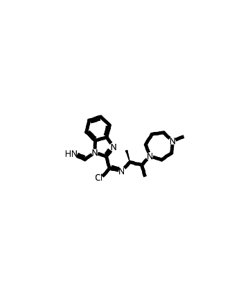 CC([C@H](C)/N=C(/Cl)c1nc2ccccc2n1C=N)N1CCCN(C)CC1